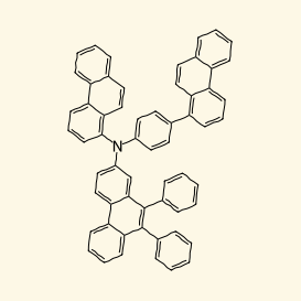 c1ccc(-c2c(-c3ccccc3)c3cc(N(c4ccc(-c5cccc6c5ccc5ccccc56)cc4)c4cccc5c4ccc4ccccc45)ccc3c3ccccc23)cc1